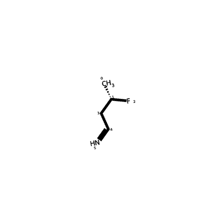 C[C@H](F)CC=N